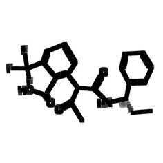 CC[C@H](NC(=O)C(C(C)=O)c1cccc(C(F)(F)F)c1C(=O)O)c1ccccc1